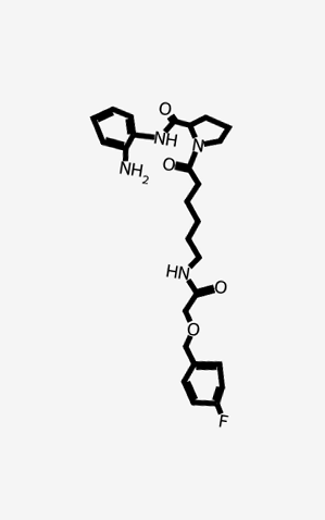 Nc1ccccc1NC(=O)C1CCCN1C(=O)CCCCCNC(=O)COCc1ccc(F)cc1